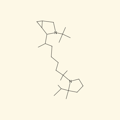 CC(CCCCC(C)(C)N1CCCC1(C)C(C)C)C1C2CC2CN1C(C)(C)C